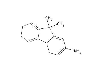 CC1(C)C2=CCCC=C2C2CC=C(N)C=C21